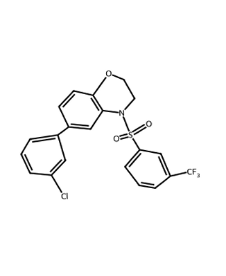 O=S(=O)(c1cccc(C(F)(F)F)c1)N1CCOc2ccc(-c3cccc(Cl)c3)cc21